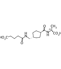 C[C@H](NC(=O)[C@H]1CC[C@H](CNC(=O)CCCC(=O)O)CC1)C(=O)O